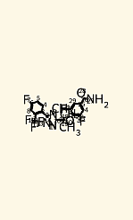 Cn1c(-c2ccc(F)cc2C(F)(F)F)nnc1C(C)(C)Oc1c(F)cc(C(N)=O)cc1F